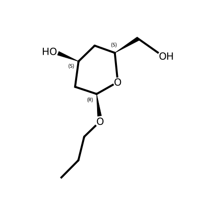 CCCO[C@H]1C[C@@H](O)C[C@@H](CO)O1